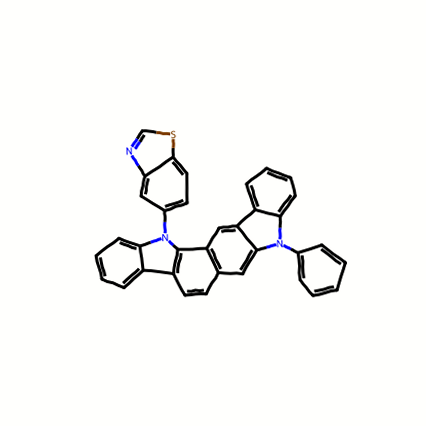 c1ccc(-n2c3ccccc3c3cc4c(ccc5c6ccccc6n(-c6ccc7scnc7c6)c45)cc32)cc1